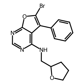 Brc1oc2ncnc(NCC3CCCO3)c2c1-c1ccccc1